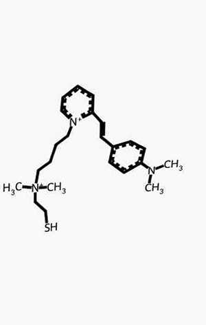 CN(C)c1ccc(/C=C/c2cccc[n+]2CCCC[N+](C)(C)CCS)cc1